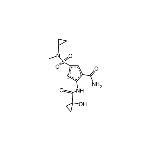 CN(C1CC1)S(=O)(=O)c1cc(C(N)=O)c(NC(=O)C2(O)CC2)s1